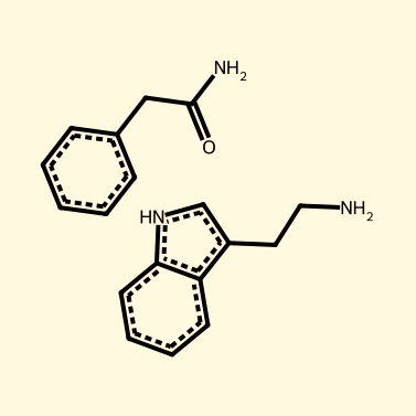 NC(=O)Cc1ccccc1.NCCc1c[nH]c2ccccc12